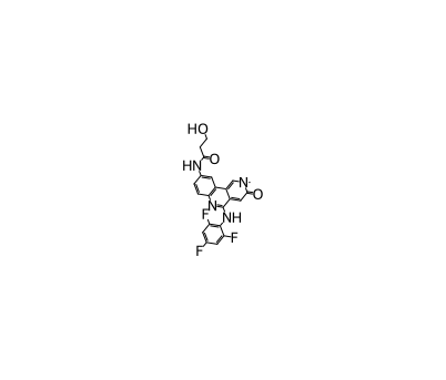 O=C1C=c2c(Nc3c(F)cc(F)cc3F)nc3ccc(NC(=O)CCO)cc3c2=C[N]1